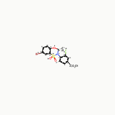 CCOC(=O)c1ccc(N2[C@@H](C)Oc3ccc(Br)cc3S2(=O)=O)c(F)c1